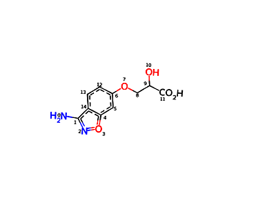 Nc1noc2cc(OCC(O)C(=O)O)ccc12